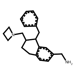 NCc1ccc2c(c1)C(Cc1ccccc1)C(CN1CCC1)CC2